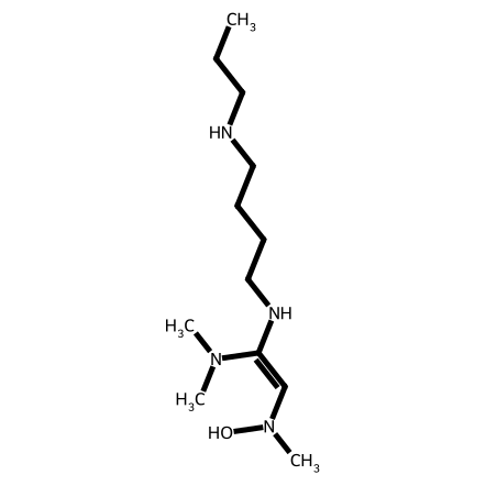 CCCNCCCCN/C(=C/N(C)O)N(C)C